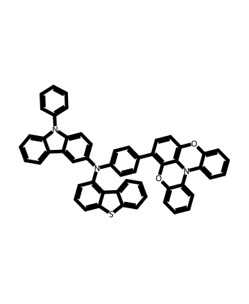 c1ccc(-n2c3ccccc3c3cc(N(c4ccc(-c5ccc6c7c5Oc5ccccc5N7c5ccccc5O6)cc4)c4cccc5sc6ccccc6c45)ccc32)cc1